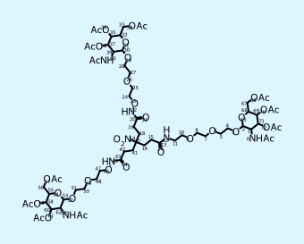 CC(=O)NC1C(OCCOCCOCCNC(=O)CCC(CCC(=O)NOCCOCCOC2OC(COC(C)=O)C(OC(C)=O)C(OC(C)=O)C2NC(C)=O)(CCC(=O)NOCCOCCOC2OC(COC(C)=O)C(OC(C)=O)C(OC(C)=O)C2NC(C)=O)[N+](=O)[O-])OC(COC(C)=O)C(OC(C)=O)C1OC(C)=O